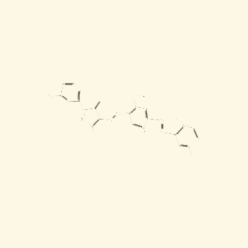 COc1cc(N=Nc2cc(S(=O)(=O)O)ccc2S(=O)(=O)O)c(C)cc1N=Nc1c(C(=O)O)[nH]n(-c2cccc(N)c2)c1=O